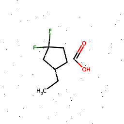 CCC1CCC(F)(F)C1.O=CO